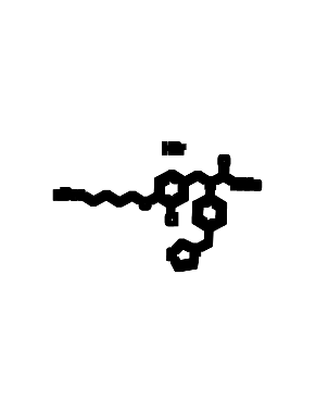 Br.CCCCCCCCCCCCCCOc1ccc(CN(C(=O)NC)c2ccc(CN3C=CSC3)cc2)cc1Cl